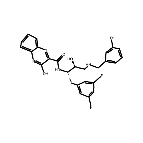 CCc1cccc(CNC[C@H](O)[C@H](Cc2cc(F)cc(F)c2)NC(=O)c2nc3ccccc3nc2O)c1